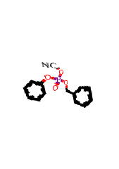 N#COP(=O)(OCc1ccccc1)Oc1ccccc1